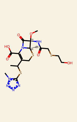 CO[C@@]1(NC(=O)CSCCO)C(=O)N2C(C(=O)O)=C(C(C)Sc3nnnn3C)CS[C@@H]21